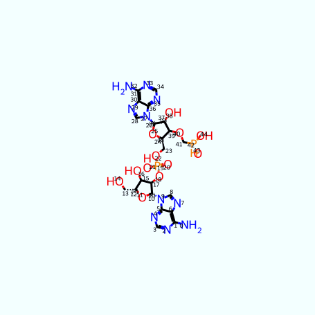 Nc1ncnc2c1ncn2[C@@H]1O[C@H](CO)C(O)C1OP(=O)(O)OC[C@H]1O[C@@H](n2cnc3c(N)ncnc32)[C@@H](O)C1OC[PH](=O)O